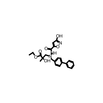 CCOC(=O)C(C)(O)CN(Cc1ccc(-c2ccccc2)cc1)NC(=O)c1cc(O)no1